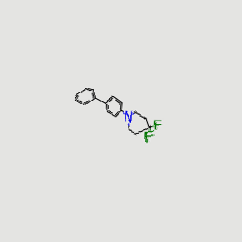 FC1(F)CCN(c2ccc(-c3ccccc3)cc2)CC1